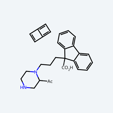 CC(=O)C1CNCCN1CCCC1(C(=O)O)c2ccccc2-c2ccccc21.c1cc2ccc1-2